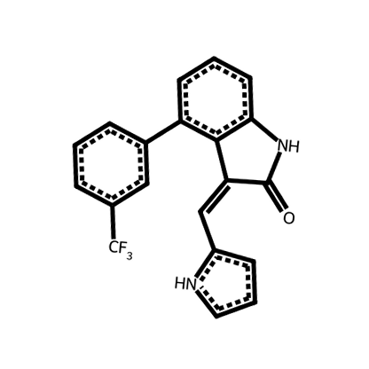 O=C1Nc2cccc(-c3cccc(C(F)(F)F)c3)c2C1=Cc1ccc[nH]1